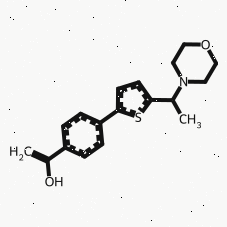 C=C(O)c1ccc(-c2ccc(C(C)N3CCOCC3)s2)cc1